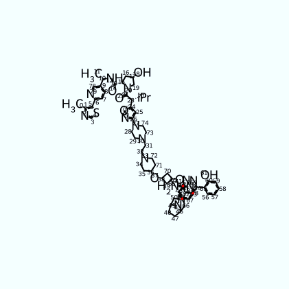 Cc1ncsc1-c1ccc([C@H](C)NC(=O)[C@@H]2C[C@@H](O)CN2C(=O)[C@@H](c2cc(N3CCN(CCN4CCC(O[C@H]5C[C@H](Oc6cc(N7C8CCC7CN(c7cc(-c9ccccc9O)nnc7N)C8)ccn6)C5)CC4)CC3)no2)C(C)C)cn1